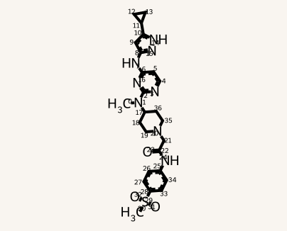 CN(c1nccc(Nc2cc(C3CC3)[nH]n2)n1)C1CCN(CC(=O)Nc2ccc(S(C)(=O)=O)cc2)CC1